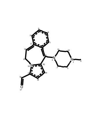 CN1CCN(C2=c3ccccc3=CCn3c(C=O)ccc32)CC1